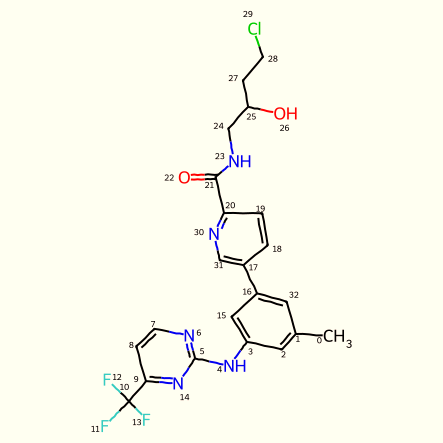 Cc1cc(Nc2nccc(C(F)(F)F)n2)cc(-c2ccc(C(=O)NCC(O)CCCl)nc2)c1